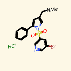 CNCc1cc(-c2ccccc2)n(S(=O)(=O)c2cncc(Br)c2)c1.Cl